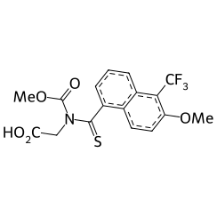 COC(=O)N(CC(=O)O)C(=S)c1cccc2c(C(F)(F)F)c(OC)ccc12